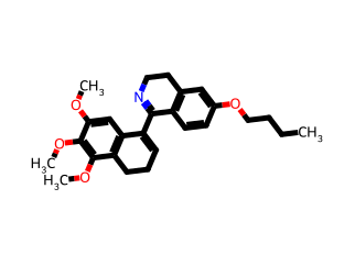 CCCCOc1ccc2c(c1)CCN=C2C1=CCCc2c1cc(OC)c(OC)c2OC